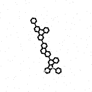 c1ccc(-c2ccc3c4ccc(-c5ccc6c(ccc7cc(-c8cc9c%10cnccc%10n(-c%10ccccc%10)c9c9ccccc89)ccc76)c5)cc4c4ccccc4c3c2)cc1